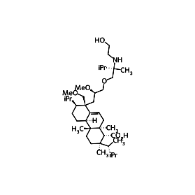 COC[C@@]1(C[C@H](COC[C@](C)(NCCO)C(C)C)OC)C2=CC[C@@]3(C)[C@H](C(=O)O)[C@@](C)([C@H](C)C(C)C)CC[C@]3(C)[C@H]2CC[C@H]1C(C)C